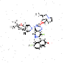 C=C1CN2CCCC2(COc2nc(N3C[C@@H]4C[C@H](C3)[C@H](O[Si](C)(C)C(C)(C)C)C4)c3cnc(-c4cc(O)cc5ccc(F)c(CC)c45)c(F)c3n2)C1